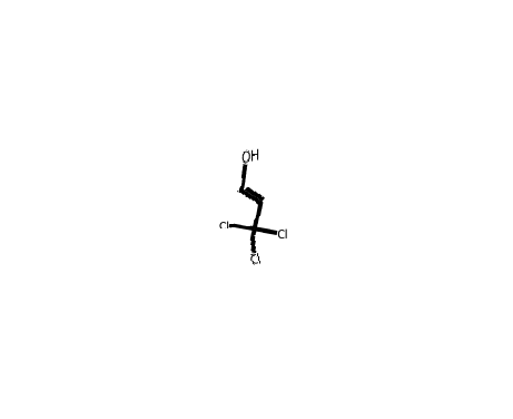 O[C]=CC(Cl)(Cl)Cl